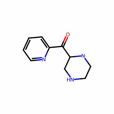 O=C(c1ccccn1)C1CNCC[N]1